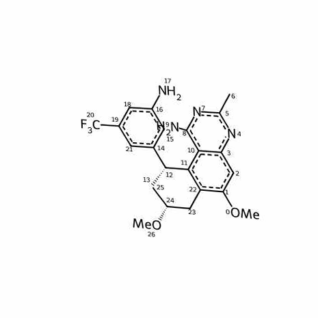 COc1cc2nc(C)nc(N)c2c([C@H](C)c2cc(N)cc(C(F)(F)F)c2)c1C[C@@H](C)OC